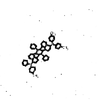 Cc1ccc(N(c2ccccc2)c2ccc3c4c(-c5ccccc5)c5c6ccc(N(c7ccc(C)cc7)c7ccc(C)cc7)c7cccc(c5c(-c5ccccc5)c4c4cccc2c43)c76)cc1